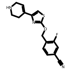 N#Cc1ccc(COc2nc(C3=CCNCC3)cs2)c(F)c1